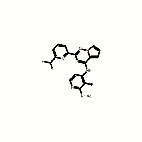 CC(=O)Nc1nccc(Nc2nc(-c3cccc(C(F)F)n3)nn3cccc23)c1F